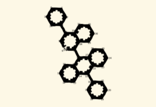 c1ccc(-c2cnc(-c3c4ccccc4c(-c4ccccc4)c4ccccc34)c3ccccc23)cc1